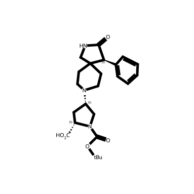 CC(C)(C)OC(=O)N1C[C@@H](N2CCC3(CC2)CNC(=O)[C@H]3c2ccccc2)C[C@H]1C(=O)O